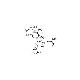 C[C@@H](O)[C@H](NC(=O)[C@H](CO)NC(=O)[C@H](CCC(=O)O)NC(=O)[C@@H]1CCCN1)C(=O)O